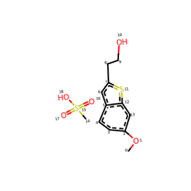 COc1ccc2cc(CCO)sc2c1.CS(=O)(=O)O